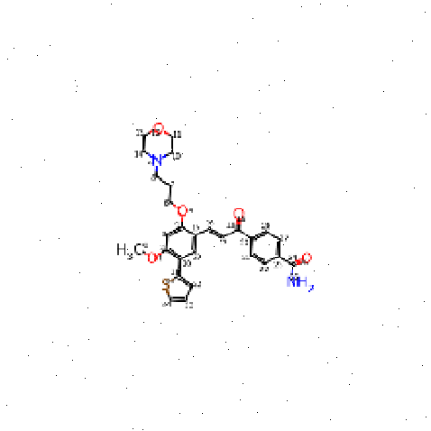 COc1cc(OCCCN2CCOCC2)c(C=CC(=O)c2ccc(C(N)=O)cc2)cc1-c1cccs1